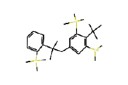 C[SH](C)c1cc(CC(C)(C)c2ccccc2S(C)(C)C)cc(S(C)(C)C)c1C(C)(C)C